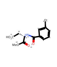 CCc1cccc(C(=O)N[C@@H](CC(=O)O)C(=O)OC)c1